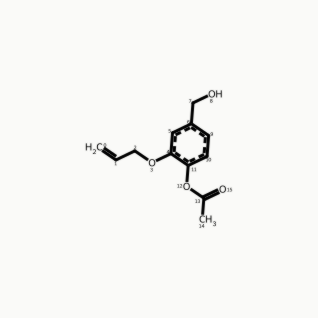 C=CCOc1cc(CO)ccc1OC(C)=O